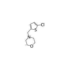 Clc1ccc(CN2C[CH]OCC2)s1